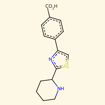 O=C(O)c1ccc(-c2csc(C3CCCCN3)n2)cc1